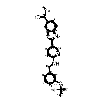 COC(=O)c1ccc2nc(-c3ccc(NCc4cccc(OC(F)(F)F)c4)nc3)sc2c1